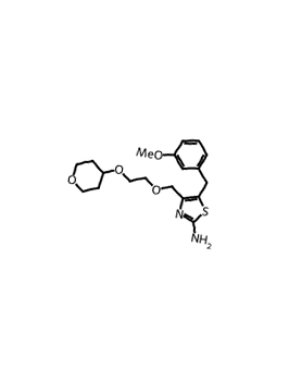 COc1cccc(Cc2sc(N)nc2COCCOC2CCOCC2)c1